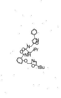 CC(C)C[C@@H](NC(=O)c1ccccc1OCc1ncc(C(C)(C)C)o1)C(=O)N(C)Cc1cc(-c2ccccc2)no1